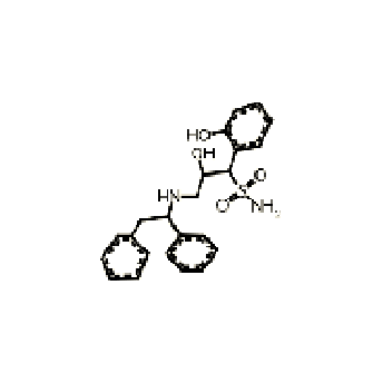 NS(=O)(=O)C(c1ccccc1O)C(O)CNC(Cc1ccccc1)c1ccccc1